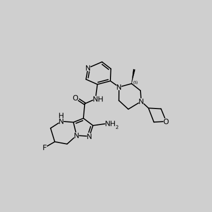 C[C@H]1CN(C2COC2)CCN1c1ccncc1NC(=O)c1c(N)nn2c1NCC(F)C2